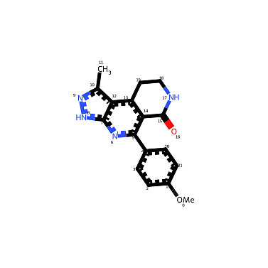 COc1ccc(-c2nc3[nH]nc(C)c3c3c2C(=O)NCC3)cc1